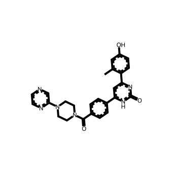 Cc1cc(O)ccc1-c1cc(-c2ccc(C(=O)N3CCN(c4cnccn4)CC3)cc2)[nH]c(=O)n1